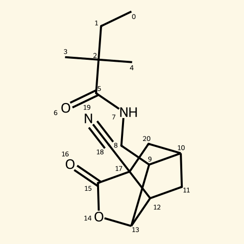 CCC(C)(C)C(=O)NCC1C2CC3C1OC(=O)C3(C#N)C2